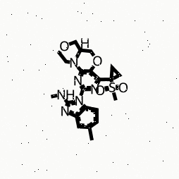 CNc1nc2cc(C)ccc2n1-c1nc2c(c(C3(S(C)(=O)=O)CC3)n1)OC[C@@H]1COCCN21